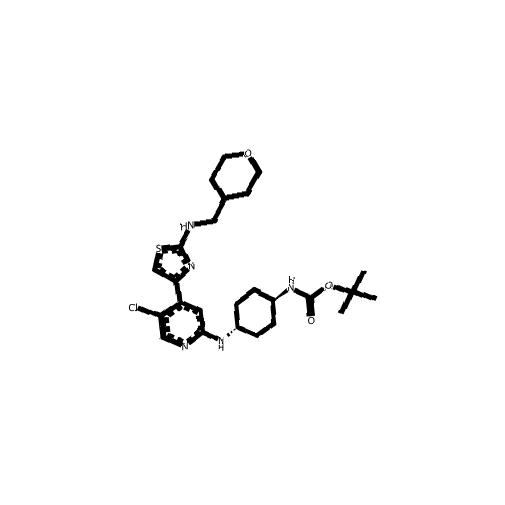 CC(C)(C)OC(=O)N[C@H]1CC[C@H](Nc2cc(-c3csc(NCC4CCOCC4)n3)c(Cl)cn2)CC1